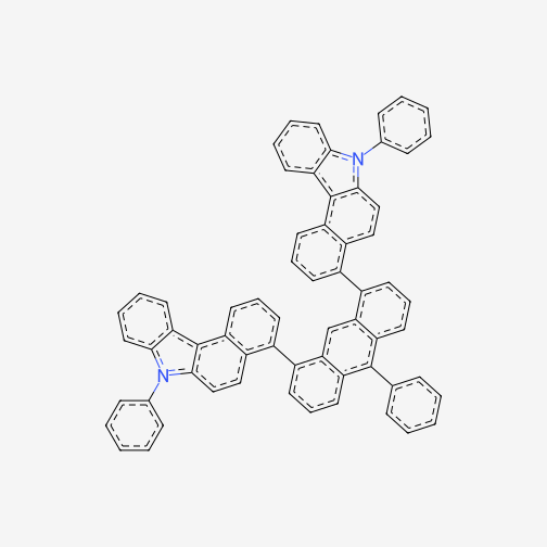 c1ccc(-c2c3cccc(-c4cccc5c4ccc4c5c5ccccc5n4-c4ccccc4)c3cc3c(-c4cccc5c4ccc4c5c5ccccc5n4-c4ccccc4)cccc23)cc1